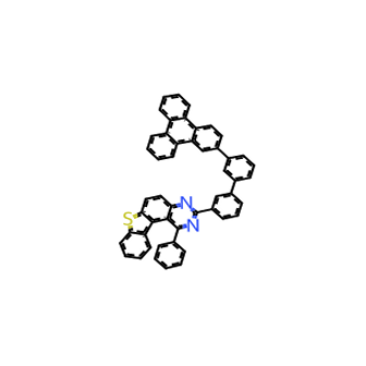 c1ccc(-c2nc(-c3cccc(-c4cccc(-c5ccc6c7ccccc7c7ccccc7c6c5)c4)c3)nc3ccc4sc5ccccc5c4c23)cc1